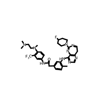 Cc1ccc(CC(=O)Nc2ccc(N(C)CCN(C)C)c(C(F)(F)F)c2)cc1Nc1ncnc2c1N=C(N1CCC(F)CC1)N=CC2